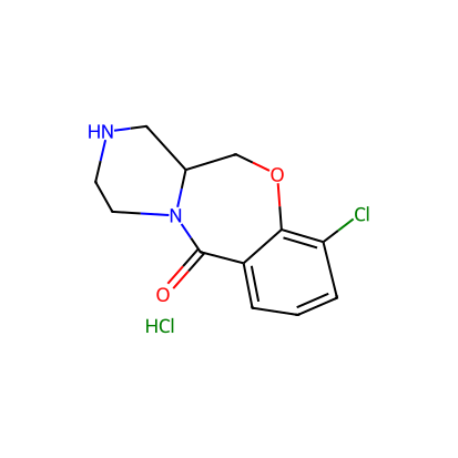 Cl.O=C1c2cccc(Cl)c2OCC2CNCCN12